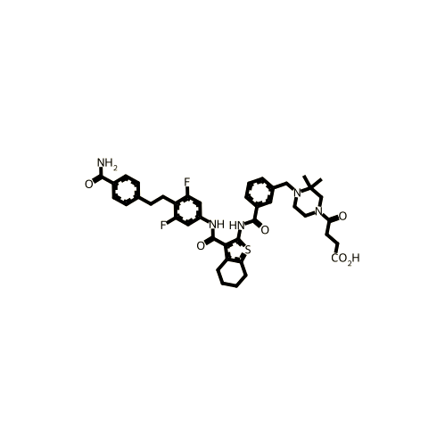 CC1(C)CN(C(=O)CCC(=O)O)CCN1Cc1cccc(C(=O)Nc2sc3c(c2C(=O)Nc2cc(F)c(CCc4ccc(C(N)=O)cc4)c(F)c2)CCCC3)c1